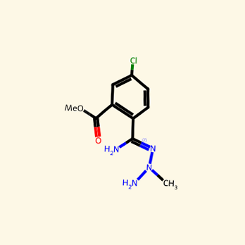 COC(=O)c1cc(Cl)ccc1/C(N)=N/N(C)N